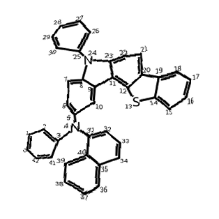 c1ccc(N(c2ccc3c(c2)c2c4sc5ccccc5c4ccc2n3-c2ccccc2)c2cccc3ccccc23)cc1